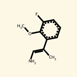 COc1c(F)cccc1/C(C)=C/N